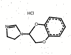 C1=NCCN1C1COc2ccccc2O1.Cl